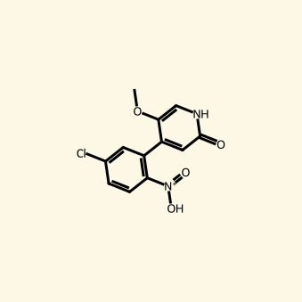 COc1c[nH]c(=O)cc1-c1cc(Cl)ccc1[N+](=O)O